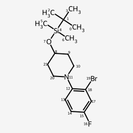 CC(C)(C)[Si](C)(C)OC1CCN(c2ccc(F)cc2Br)CC1